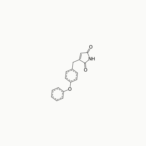 O=C1C=C(Cc2ccc(Oc3ccccc3)cc2)C(=O)N1